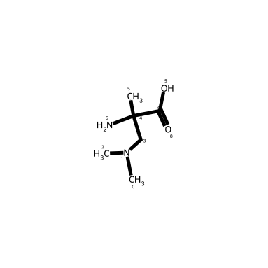 CN(C)CC(C)(N)C(=O)O